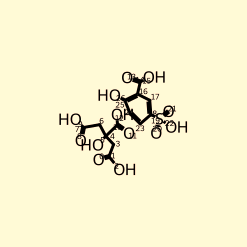 O=C(O)CC(O)(CC(=O)O)C(=O)O.O=C(O)c1cc(S(=O)(=O)O)ccc1O